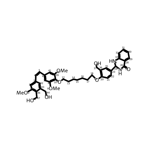 COc1cc(/C=C\c2cc(OC)c(OCCCCCCCOc3ccc(C4NC(=O)c5ccccc5N4)cc3CO)c(OC)c2)cc(CO)c1CO